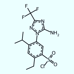 CCc1cc(C(C)C)c(-n2nc(C(F)(F)F)nc2N)cc1S(=O)(=O)Cl